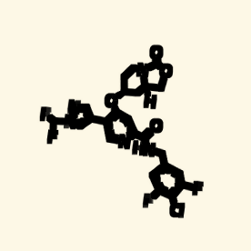 O=C(NCc1cc(F)c(Cl)c(F)c1)c1cc(O[C@H]2CCN3C(=O)OC[C@@H]3C2)c(-c2cnn(C(F)F)c2)cn1